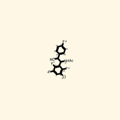 CC(=O)NC(c1c(F)c(F)cc(Cl)c1F)C(C#N)c1ccc(F)cc1